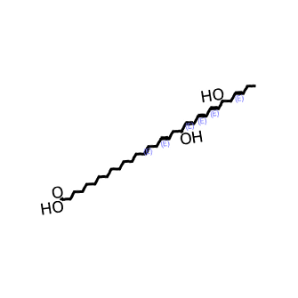 CC/C=C/CC(O)/C=C/C=C/C=C/C(O)C/C=C/C/C=C/CCCCCCCCCCCCC(=O)O